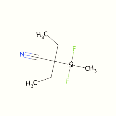 CCC(C#N)(CC)[Si](C)(F)F